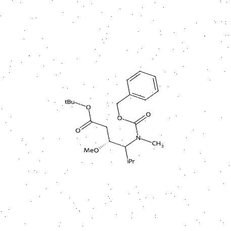 CO[C@H](CC(=O)OC(C)(C)C)C(C(C)C)N(C)C(=O)OCc1ccccc1